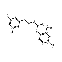 CCC(OCCc1cc(C)cc(C)c1)Oc1ccc(C(C)CC)cc1OC